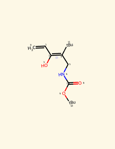 C=C/C(O)=C(/CNC(=O)OC(C)(C)C)C(C)(C)C